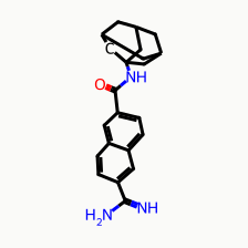 N=C(N)c1ccc2cc(C(=O)NC34CC5CC(CC(C5)C3)C4)ccc2c1